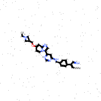 CN/C=C(\C=N)c1ccc(CNc2cc(-c3cnc4cc(OCC5CN(CC(F)(F)F)C5)ccn34)ncn2)cc1